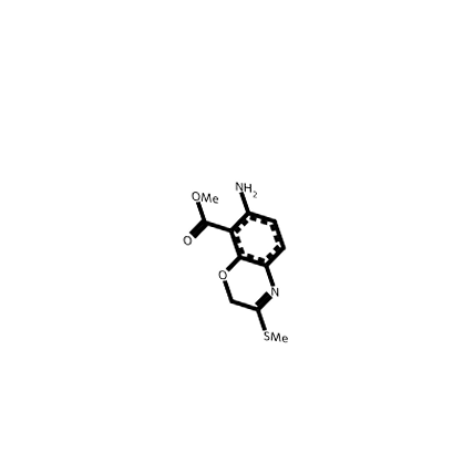 COC(=O)c1c(N)ccc2c1OCC(SC)=N2